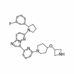 Fc1cccc(C2CCCN2c2ccc3ncc(-c4cccc(N5CCC(OC6CNC6)CC5)n4)n3n2)c1